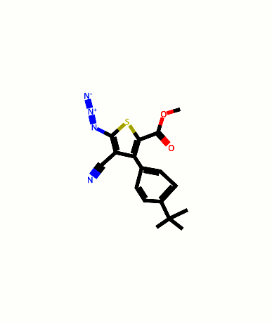 COC(=O)c1sc(N=[N+]=[N-])c(C#N)c1-c1ccc(C(C)(C)C)cc1